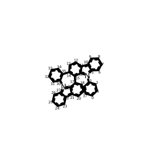 c1ccc(-n2c3ccccc3c3ccc4c(c32)-c2cccc3c5ccccc5n(c23)-c2ccccc2-4)cc1